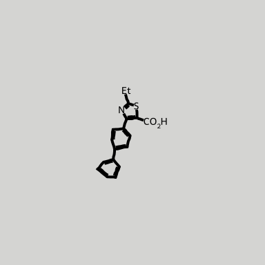 CCc1nc(-c2ccc(-c3ccccc3)cc2)c(C(=O)O)s1